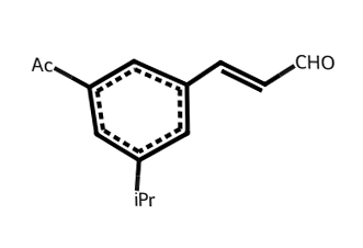 CC(=O)c1cc(/C=C/C=O)cc(C(C)C)c1